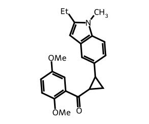 CCc1cc2cc(C3CC3C(=O)c3cc(OC)ccc3OC)ccc2n1C